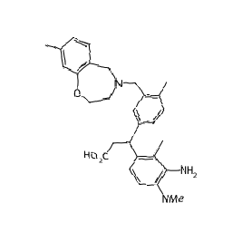 CNc1ccc(C(CC(=O)O)c2ccc(C)c(CN3CCOc4cc(C)ccc4C3)c2)c(C)c1N